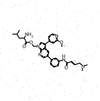 COc1cc(-c2cn(COC(=O)C(N)CC(C)C)c3ncc(-c4cccc(NC(=O)/C=C/CN(C)C)c4)cc23)ccn1